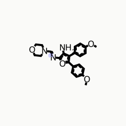 COc1ccc(-c2oc(/N=C/N3CCOCC3)c(N)c2-c2ccc(OC)cc2)cc1